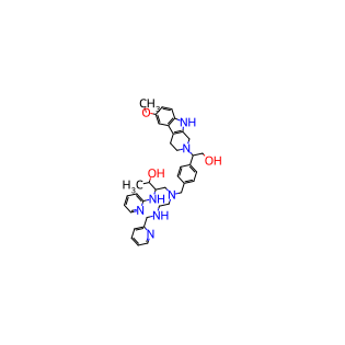 COc1ccc2[nH]c3c(c2c1)CCN(C(CO)c1ccc(CN(CCNCc2ccccn2)CC(Nc2ccccn2)C(C)O)cc1)C3